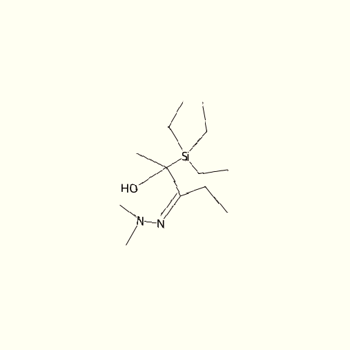 CCC(=NN(C)C)C(C)(O)[Si](CC)(CC)CC